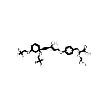 CCO[C@@H](Cc1ccc(OC/C=C(\C)C#CC2(OCC(F)(F)F)C=CC=C(OCC(F)(F)F)C2)cc1)C(=O)O